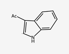 CC(=O)c1[c][nH]c2ccccc12